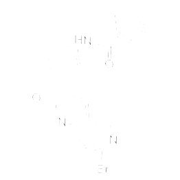 CCc1cc2c(cn1)cc(-c1cc(NC(=O)c3ccccc3)ccc1C)c(=O)n2C